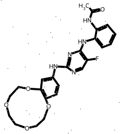 CC(=O)Nc1ccccc1Nc1nc(Nc2ccc3c(c2)OCCOCCOCCO3)ncc1F